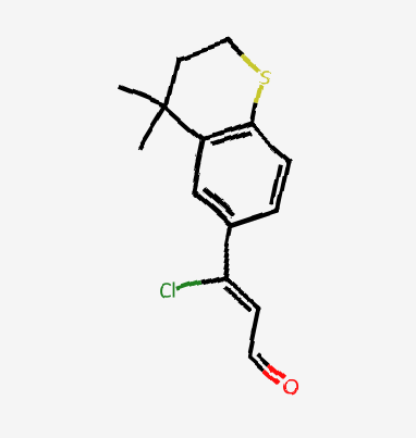 CC1(C)CCSc2ccc(/C(Cl)=C/C=O)cc21